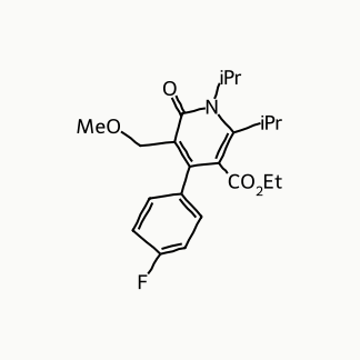 CCOC(=O)c1c(-c2ccc(F)cc2)c(COC)c(=O)n(C(C)C)c1C(C)C